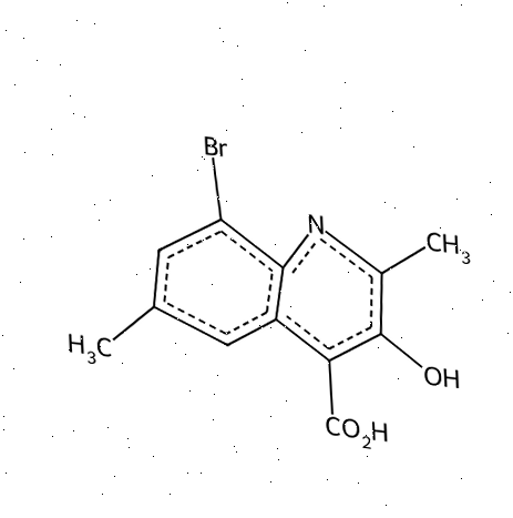 Cc1cc(Br)c2nc(C)c(O)c(C(=O)O)c2c1